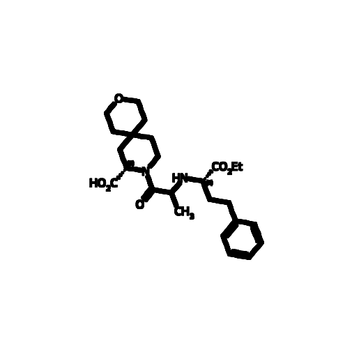 CCOC(=O)[C@H](CCc1ccccc1)NC(C)C(=O)N1CCC2(CCOCC2)C[C@H]1C(=O)O